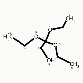 CCOC(CO)(OCC)OCC